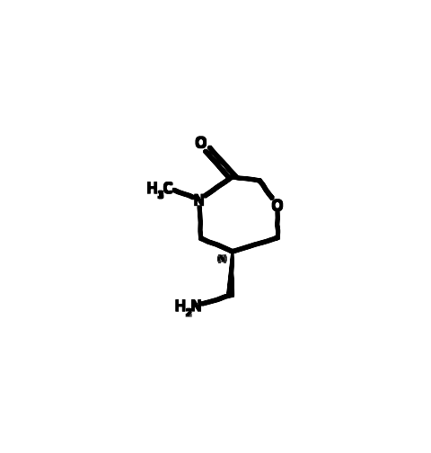 CN1C[C@H](CN)COCC1=O